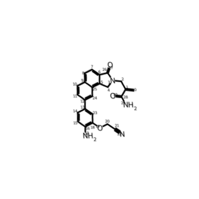 C=C(CN1Cc2c(ccc3ccc(-c4ccc(N)c(OCC#N)c4)cc23)C1=O)C(N)=O